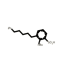 CCCCc1c(CCCCCC(C)C)cccc1S(=O)(=O)O